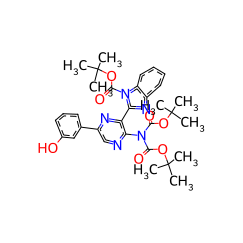 CC(C)(C)OC(=O)N(C(=O)OC(C)(C)C)c1ncc(-c2cccc(O)c2)nc1-c1nc2ccccc2n1C(=O)OC(C)(C)C